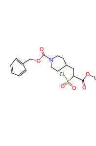 CC(C)(C)OC(=O)C(CC1CCN(C(=O)OCc2ccccc2)CC1)S(=O)(=O)Cl